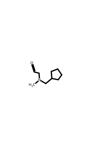 CN(CC=O)CC1CCCC1